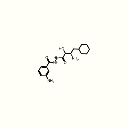 Nc1cccc(C(=O)NNC(=O)C(O)[C@H](N)CC2CCCCC2)c1